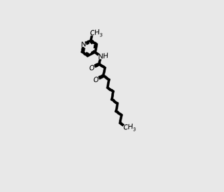 CCCCCCCCCC(=O)CC(=O)Nc1ccnc(C)c1